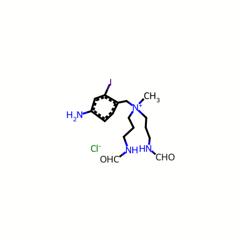 C[N+](CCCNC=O)(CCCNC=O)Cc1ccc(N)cc1I.[Cl-]